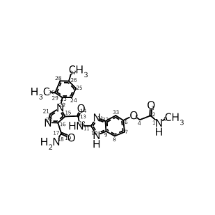 CNC(=O)COc1ccc2[nH]c(NC(=O)c3c(C(N)=O)ncn3-c3ccc(C)cc3C)nc2c1